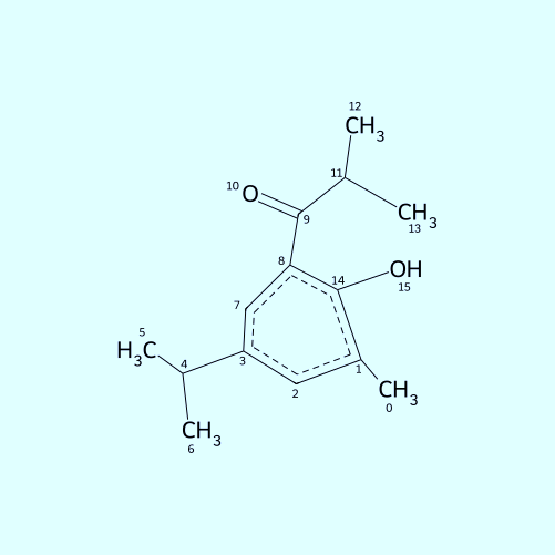 Cc1cc(C(C)C)cc(C(=O)C(C)C)c1O